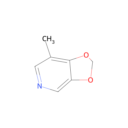 Cc1cncc2c1OCO2